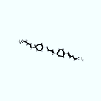 CCCC=C[C@H]1CC[C@H](C=CCC[C@H]2CC[C@H](CCCCC)CC2)CC1